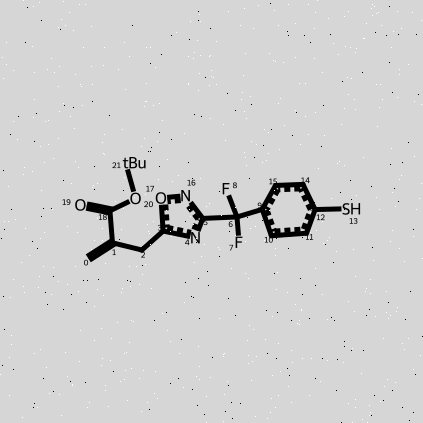 C=C(Cc1nc(C(F)(F)c2ccc(S)cc2)no1)C(=O)OC(C)(C)C